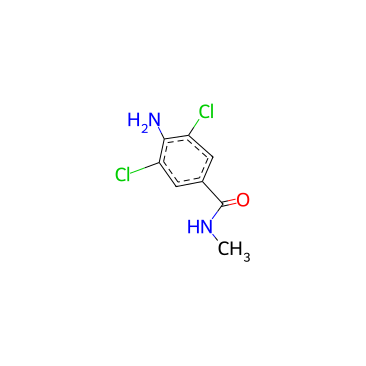 CNC(=O)c1cc(Cl)c(N)c(Cl)c1